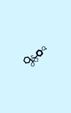 COc1ccc(CSC2(C(=O)Cl)CCCCC2)cc1